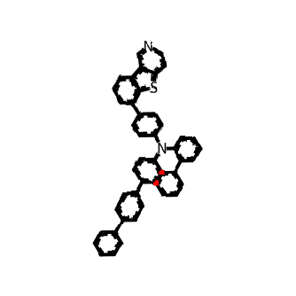 c1ccc(-c2ccc(-c3ccc(N(c4ccc(-c5cccc6c5sc5ccncc56)cc4)c4ccccc4-c4ccccc4)cc3)cc2)cc1